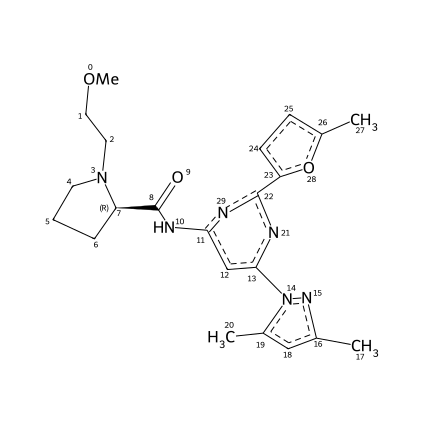 COCCN1CCC[C@@H]1C(=O)Nc1cc(-n2nc(C)cc2C)nc(-c2ccc(C)o2)n1